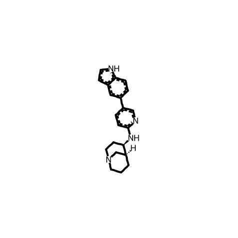 c1cc2cc(-c3ccc(N[C@@H]4CCN5CCC[C@H]4C5)nc3)ccc2[nH]1